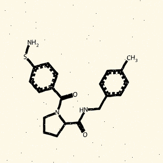 Cc1ccc(CNC(=O)C2CCCN2C(=O)c2ccc(SN)cc2)cc1